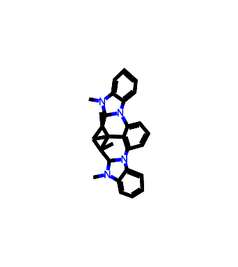 CN1c2ccccc2N2c3cccc4c3C35C(C3(C)C12)C5(C)C1N(C)c2ccccc2N41